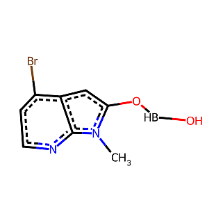 Cn1c(OBO)cc2c(Br)ccnc21